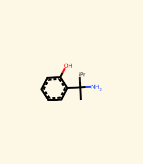 CC(C)C(C)(N)c1ccccc1O